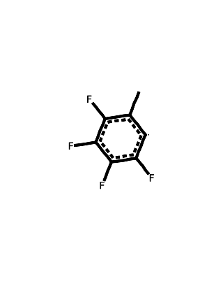 Cc1[c]c(F)c(F)c(F)c1F